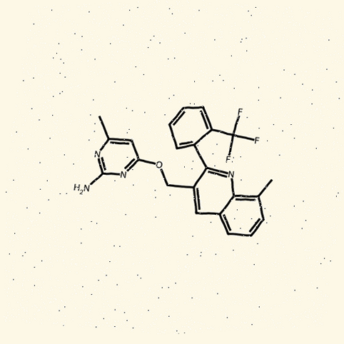 Cc1cc(OCc2cc3cccc(C)c3nc2-c2ccccc2C(F)(F)F)nc(N)n1